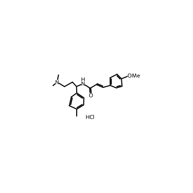 COc1ccc(C=CC(=O)NC(CCN(C)C)c2ccc(C)cc2)cc1.Cl